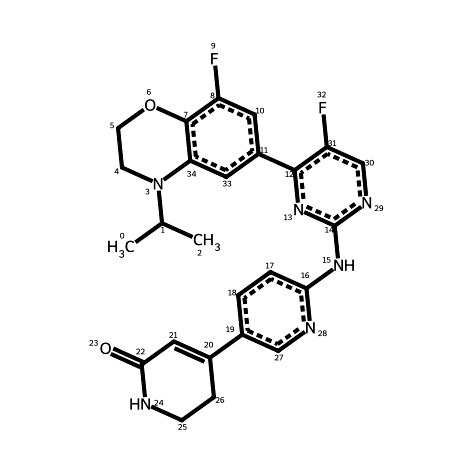 CC(C)N1CCOc2c(F)cc(-c3nc(Nc4ccc(C5=CC(=O)NCC5)cn4)ncc3F)cc21